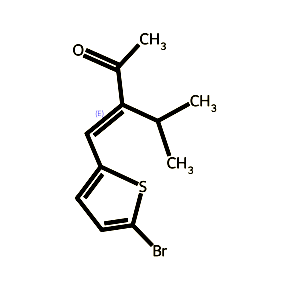 CC(=O)/C(=C/c1ccc(Br)s1)C(C)C